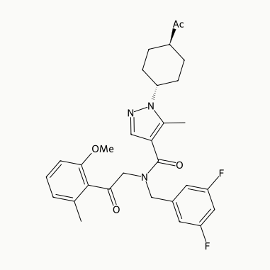 COc1cccc(C)c1C(=O)CN(Cc1cc(F)cc(F)c1)C(=O)c1cnn([C@H]2CC[C@H](C(C)=O)CC2)c1C